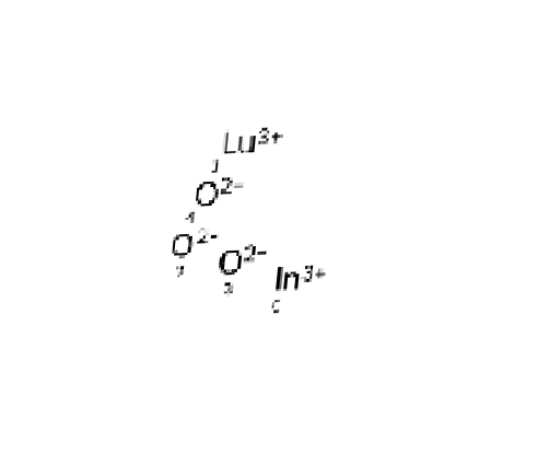 [In+3].[Lu+3].[O-2].[O-2].[O-2]